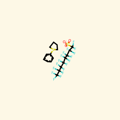 O=S(=O)([O-])C(F)(F)C(F)(F)C(F)(F)C(F)(F)C(F)(F)C(F)(F)C(F)(F)C(F)(F)F.c1ccc([S+]2CCCC2)cc1